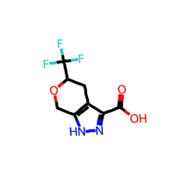 O=C(O)c1n[nH]c2c1CC(C(F)(F)F)OC2